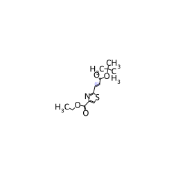 CCOC(=O)c1csc(/C=C/C(=O)OC(C)(C)C)n1